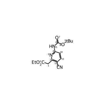 CCOC(=O)Cc1nc(NC(=O)OC(C)(C)C)ccc1C#N